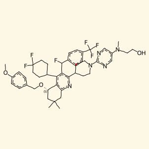 COc1ccc(CO[C@H]2CC(C)(C)Cc3nc(C4CCN(c5ncc(N(C)CCO)cn5)CC4)c(C(F)c4ccc(C(F)(F)F)cc4)c(C4CCC(F)(F)CC4)c32)cc1